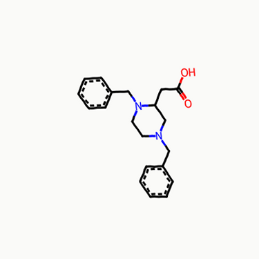 O=C(O)CC1CN(Cc2ccccc2)CCN1Cc1ccccc1